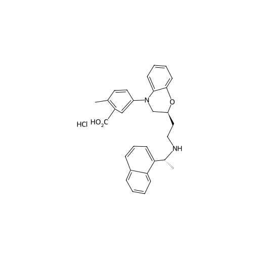 Cc1ccc(N2C[C@H](CCN[C@H](C)c3cccc4ccccc34)Oc3ccccc32)cc1C(=O)O.Cl